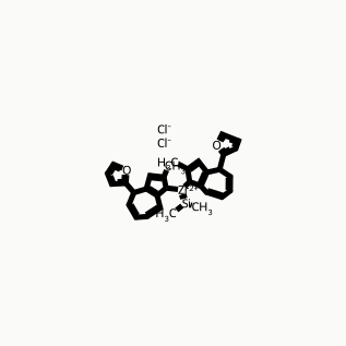 CC1=CC2=C(C=CC=CC2c2ccco2)[CH]1[Zr+2]([CH]1C(C)=CC2=C1C=CC=CC2c1ccco1)=[Si](C)C.[Cl-].[Cl-]